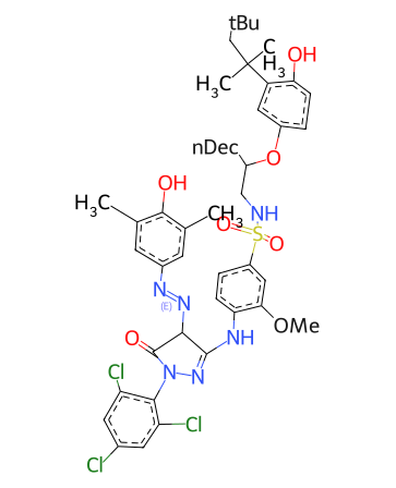 CCCCCCCCCCC(CNS(=O)(=O)c1ccc(NC2=NN(c3c(Cl)cc(Cl)cc3Cl)C(=O)C2/N=N/c2cc(C)c(O)c(C)c2)c(OC)c1)Oc1ccc(O)c(C(C)(C)CC(C)(C)C)c1